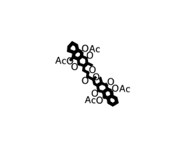 CC(=O)Oc1c2c(c(OC(C)=O)c3ccccc13)C(=O)C1=C(COC(C(=O)C3CC4=C(CO3)C(=O)c3c(c(OC(C)=O)c5ccccc5c3OC(C)=O)C4=O)C1)C2=O